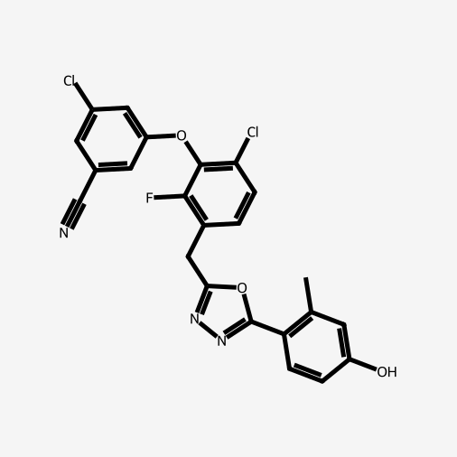 Cc1cc(O)ccc1-c1nnc(Cc2ccc(Cl)c(Oc3cc(Cl)cc(C#N)c3)c2F)o1